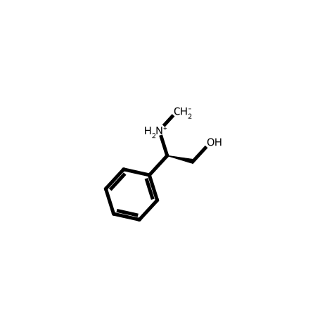 [CH2-][NH2+][C@@H](CO)c1ccccc1